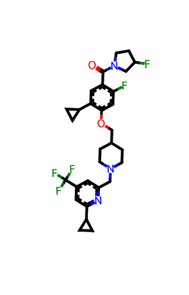 O=C(c1cc(C2CC2)c(OCC2CCN(Cc3cc(C(F)(F)F)cc(C4CC4)n3)CC2)cc1F)N1CCC(F)C1